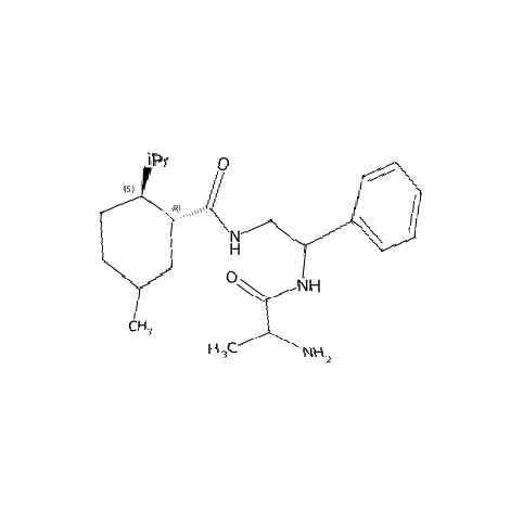 CC1CC[C@@H](C(C)C)[C@H](C(=O)NCC(NC(=O)C(C)N)c2ccccc2)C1